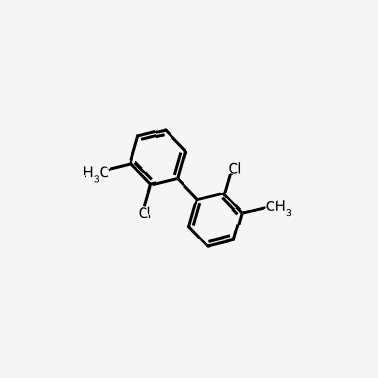 Cc1cccc(-c2cccc(C)c2Cl)c1Cl